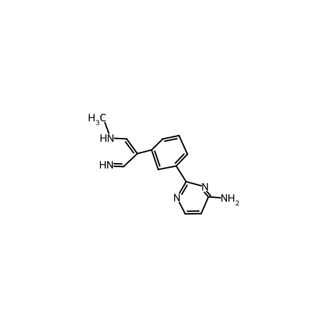 CN/C=C(\C=N)c1cccc(-c2nccc(N)n2)c1